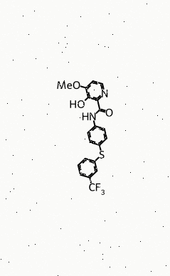 COc1ccnc(C(=O)Nc2ccc(Sc3cccc(C(F)(F)F)c3)cc2)c1O